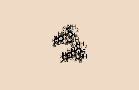 Cc1cnc2cc(Nc3nc(N[C@@H](C)[C@@H](C)N)c(F)cc3C(N)=O)ccc2n1.Cc1cnc2cc(Nc3nc(N[C@H](C)[C@H](C)N)c(F)cc3C(N)=O)ccc2n1